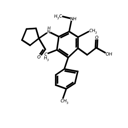 CNc1c(C)c(CC(=O)O)c(-c2ccc(C)cc2)c(C)c1NC1(C=O)CCCC1